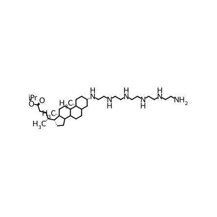 CC(C)OC(=O)CC[C@@H](C)[C@H]1CCC2C3CCC4C[C@@H](NCCNCCNCCNCCNCCN)CC[C@]4(C)C3CC[C@@]21C